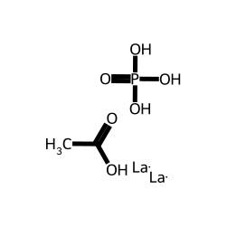 CC(=O)O.O=P(O)(O)O.[La].[La]